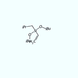 C=C[Si](CC(C)C)(OC(C)CC)OC(C)CC